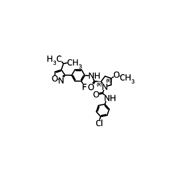 CO[C@@H]1C[C@H](C(=O)Nc2ccc(-c3nocc3C(C)C)cc2F)N(C(=O)Nc2ccc(Cl)cc2)C1